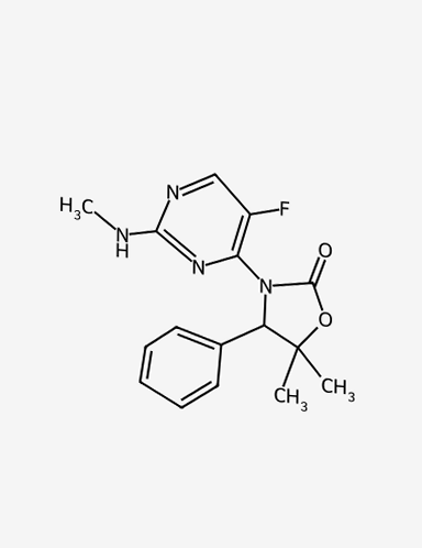 CNc1ncc(F)c(N2C(=O)OC(C)(C)C2c2ccccc2)n1